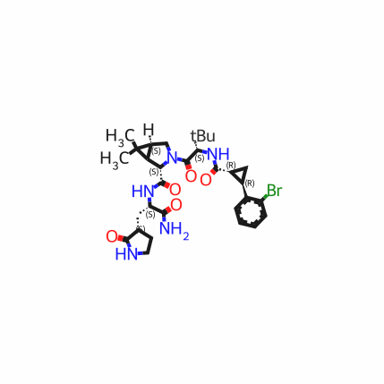 CC(C)(C)[C@H](NC(=O)[C@@H]1C[C@H]1c1ccccc1Br)C(=O)N1C[C@H]2C([C@H]1C(=O)N[C@@H](C[C@@H]1CCNC1=O)C(N)=O)C2(C)C